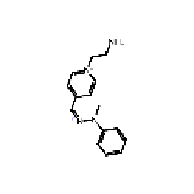 CN(/N=C\c1cc[n+](CCN)cc1)c1ccccc1